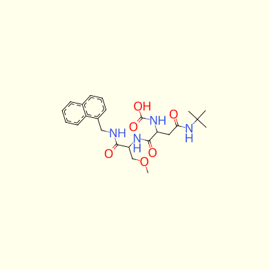 COCC(NC(=O)C(CC(=O)NC(C)(C)C)NC(=O)O)C(=O)NCc1cccc2ccccc12